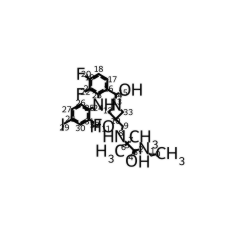 CCNC(=O)C(C)(C)NCC1(O)CN(C(O)c2ccc(F)c(F)c2Nc2ccc(I)cc2F)C1